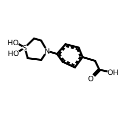 O=C(O)Cc1ccc(N2CCS(O)(O)CC2)cc1